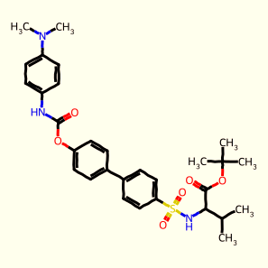 CC(C)C(NS(=O)(=O)c1ccc(-c2ccc(OC(=O)Nc3ccc(N(C)C)cc3)cc2)cc1)C(=O)OC(C)(C)C